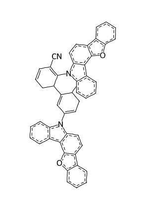 CC1CC=C(n2c3ccccc3c3c4oc5ccccc5c4ccc32)C=C1C1CC=CC(C#N)=C1n1c2ccccc2c2c3oc4ccccc4c3ccc21